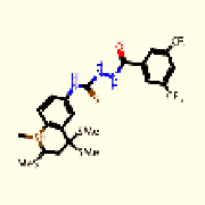 CSC1CC(SC)(SC)c2cc(NC(=S)NNC(=O)c3cc(C(F)(F)F)cc(C(F)(F)F)c3)ccc2[SH]1C